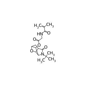 C=C(C)C(=O)NCC(=O)OC1C2CC3C(=O)N(C(C)(C)C)C1C3O2